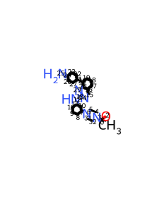 CC(=O)N1CCN(c2cccc(Nc3ncc4cccc(-c5ccc(N)cc5)c4n3)c2)CC1